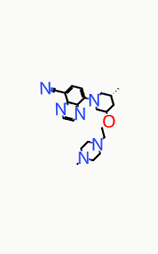 C[C@@H]1C[C@H](OCCN2CCN(C)CC2)CN(c2ccc(C#N)c3nccnc23)C1